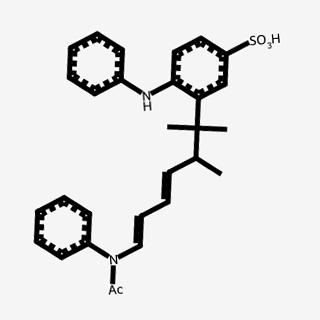 CC(=O)N(/C=C/C=C/C(C)C(C)(C)c1cc(S(=O)(=O)O)ccc1Nc1ccccc1)c1ccccc1